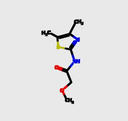 COCC(=O)Nc1nc(C)c(C)s1